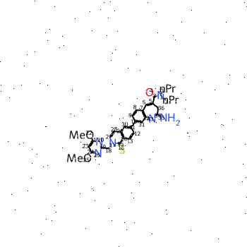 CCCN(CCC)C(=O)C1=Cc2ccc(-c3ccc4c(=S)n(Cc5nc(OC)cc(OC)n5)ccc4c3)cc2N=C(N)C1